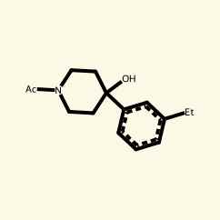 CCc1cccc(C2(O)CCN(C(C)=O)CC2)c1